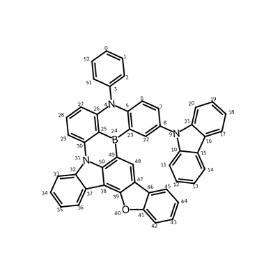 c1ccc(N2c3ccc(-n4c5ccccc5c5ccccc54)cc3B3c4c2cccc4-n2c4ccccc4c4c5oc6ccccc6c5cc3c42)cc1